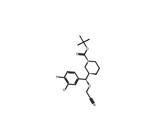 CC(C)(C)OC(=O)N1CCC[C@@H]([C@@H](OCC#N)c2ccc(F)c(Cl)c2)C1